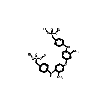 CCOP(=O)(Cc1ccc(Nc2ccc(Sc3ccc(Nc4ccc(CP(=O)(OCC)OCC)cc4)c([N+](=O)[O-])c3)cc2[N+](=O)[O-])cc1)OCC